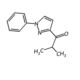 CC(C)C(=O)c1ccn(-c2ccccc2)n1